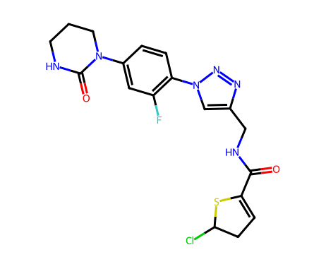 O=C(NCc1cn(-c2ccc(N3CCCNC3=O)cc2F)nn1)C1=CCC(Cl)S1